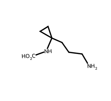 NCCCC1(NC(=O)O)CC1